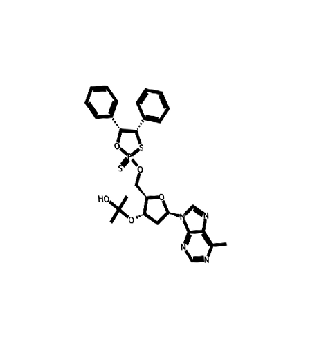 Cc1ncnc2c1ncn2[C@H]1C[C@H](OC(C)(C)O)[C@@H](COP2(=S)O[C@H](c3ccccc3)[C@H](c3ccccc3)S2)O1